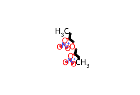 CCC(COCC(CC)O[N+](=O)[O-])O[N+](=O)[O-]